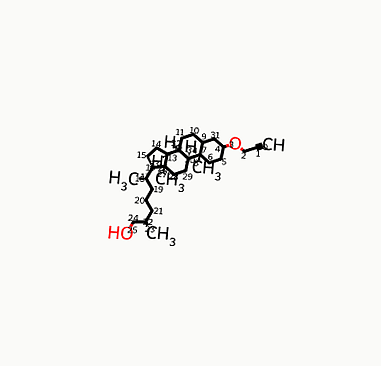 C#CCOC1CC[C@@]2(C)C(CC[C@H]3[C@@H]4CC[C@H]([C@H](C)CCCC(C)CO)[C@@]4(C)CC[C@@H]32)C1